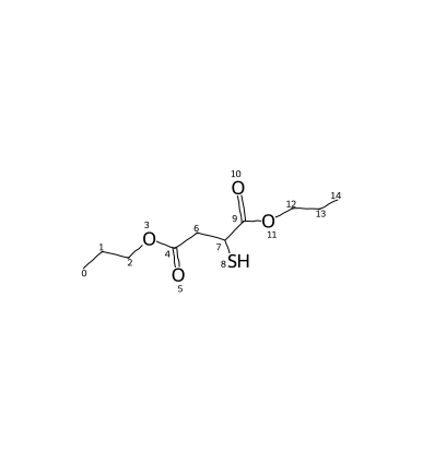 CCCOC(=O)CC(S)C(=O)OCCC